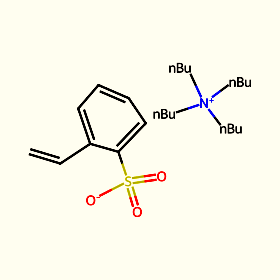 C=Cc1ccccc1S(=O)(=O)[O-].CCCC[N+](CCCC)(CCCC)CCCC